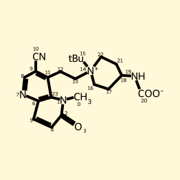 Cn1c(=O)ccc2ncc(C#N)c(CC[N+]3(C(C)(C)C)CCC(NC(=O)[O-])CC3)c21